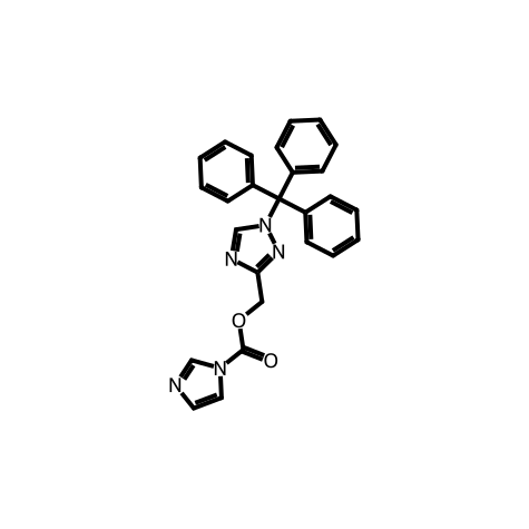 O=C(OCc1ncn(C(c2ccccc2)(c2ccccc2)c2ccccc2)n1)n1ccnc1